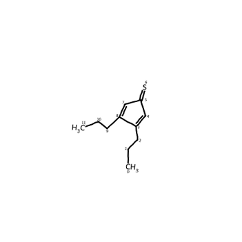 CCCC1=CC(=S)C=C1CCC